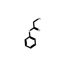 CC(C)CC(=O)Sc1ccccc1